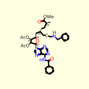 COC(=O)[C@@H](C)CC[C@H](CCCNCc1ccccc1)C[C@H]1O[C@@H](n2cnc3c(NC(=O)c4ccccc4)ncnc32)C(OC(C)=O)[C@H]1OC(C)=O